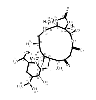 CC[C@H]1OC(=O)CC(=O)[C@H](C)[C@@H](O[C@@H]2O[C@H](C(C)N)CC(N(C)C)[C@H]2O)[C@](C)(OC)C[C@@H](C)CN[C@H](C)[C@H]2NC(=O)O[C@@]21C